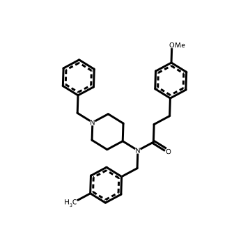 COc1ccc(CCC(=O)N(Cc2ccc(C)cc2)C2CCN(Cc3ccccc3)CC2)cc1